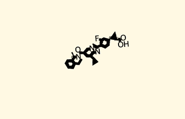 C[C@@H]1c2ccccc2CCN1C(=O)c1cc(C2CC2)c2nc(-c3ccc([C@@H]4C[C@H]4C(=O)O)cc3F)cn2c1